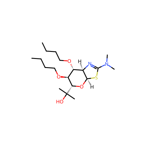 CCCCO[C@@H]1[C@H]2N=C(N(C)C)S[C@H]2O[C@H](C(C)(C)O)[C@H]1OCCCC